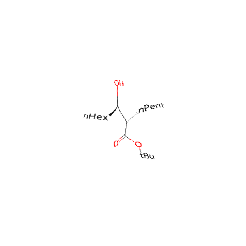 CCCCCC[C@@H](O)[C@H](CCCCC)C(=O)OC(C)(C)C